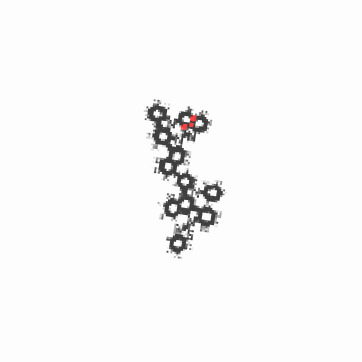 c1ccc(-n2c3ccc(-c4cccc5c4ccc4c5c5ccc6c7ccccc7n(-c7ccccc7)c6c5n4-c4nc5ccccc5s4)cc3c3c4ccccc4c4c(c5ccccc5n4-c4nc5ccccc5s4)c32)cc1